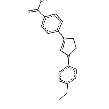 CCc1ccc(N2C=C(c3ccc(C(=O)O)cc3)CC2)cc1